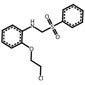 O=S(=O)(CNc1ccccc1OCCCl)c1ccccc1